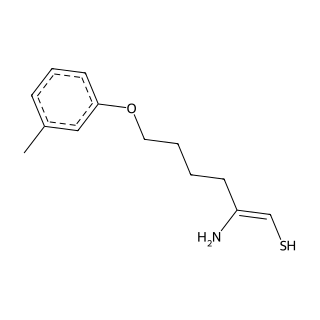 Cc1cccc(OCCCCC(N)=CS)c1